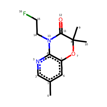 Cc1cnc2c(c1)OC(C)(C)C(=O)N2CCF